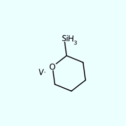 [SiH3]C1CCCCO1.[V]